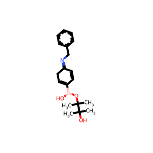 CC(C)(O)C(C)(C)OB(O)C1=CCC(=NCc2ccccc2)C=C1